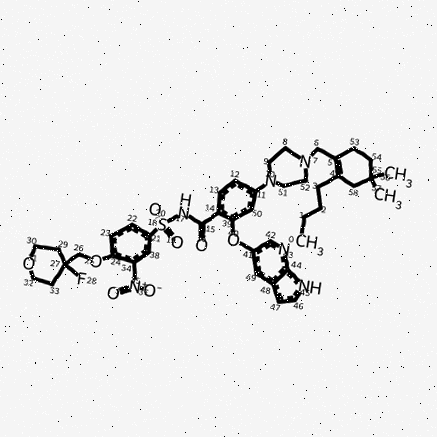 CCCCC1=C(CN2CCN(c3ccc(C(=O)NS(=O)(=O)c4ccc(OCC5(F)CCOCC5)c([N+](=O)[O-])c4)c(Oc4cnc5[nH]ccc5c4)c3)CC2)CCC(C)(C)C1